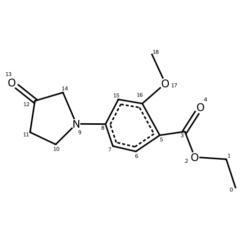 CCOC(=O)c1ccc(N2CCC(=O)C2)cc1OC